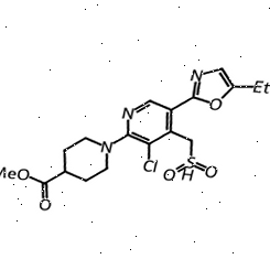 CCc1cnc(-c2cnc(N3CCC(C(=O)OC)CC3)c(Cl)c2C[SH](=O)=O)o1